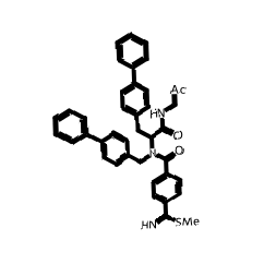 CSC(=N)c1ccc(C(=O)N(Cc2ccc(-c3ccccc3)cc2)C(Cc2ccc(-c3ccccc3)cc2)C(=O)NCC(C)=O)cc1